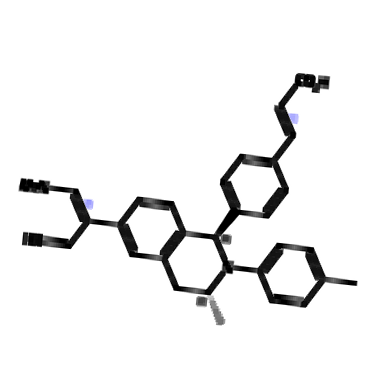 CN/C=C(\C=N)c1ccc2c(c1)C[C@@H](C)N(c1ccc(C)cc1)[C@@H]2c1ccc(/C=C/C(=O)O)cc1